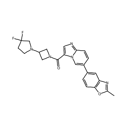 Cc1nc2cc(-c3ccc4ncc(C(=O)N5CC(N6CCC(F)(F)C6)C5)n4c3)ccc2o1